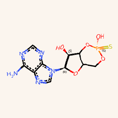 Nc1ncnc2c1ncn2[C@@H]1OC2CO[P@](O)(=S)OC2[C@@H]1O